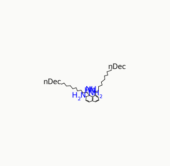 CCCCCCCCCCCCCCCCCCCC(=N)c1cccc2c1C(N)(C(=N)CCCCCCCCCCCCCCCCCCC)C(N)C=C2